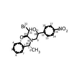 C[C@H](c1ccccc1)N(C[C@@H](O)c1ccc([N+](=O)[O-])cc1)C(=O)CBr